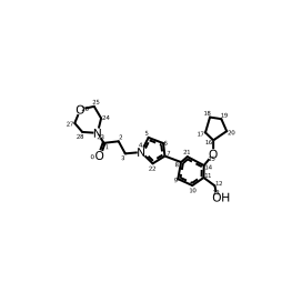 O=C(CCn1ccc(-c2ccc(CO)c(OC3CCCC3)c2)c1)N1CCOCC1